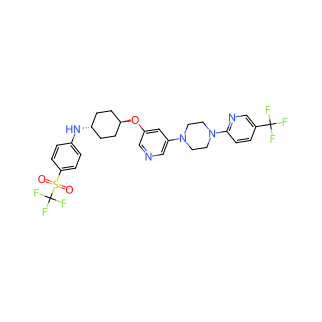 O=S(=O)(c1ccc(N[C@H]2CC[C@H](Oc3cncc(N4CCN(c5ccc(C(F)(F)F)cn5)CC4)c3)CC2)cc1)C(F)(F)F